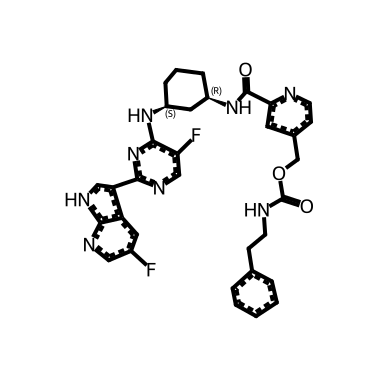 O=C(NCCc1ccccc1)OCc1ccnc(C(=O)N[C@@H]2CCC[C@H](Nc3nc(-c4c[nH]c5ncc(F)cc45)ncc3F)C2)c1